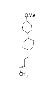 CC=CCCC1CCC(C2CCC(OC)CC2)CC1